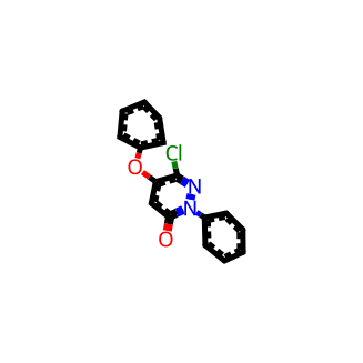 O=c1cc(Oc2ccccc2)c(Cl)nn1-c1ccccc1